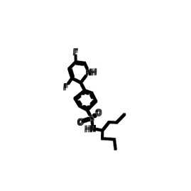 CCCC(CCC)NS(=O)(=O)c1ccc(C2NC=C(F)C=C2F)cc1